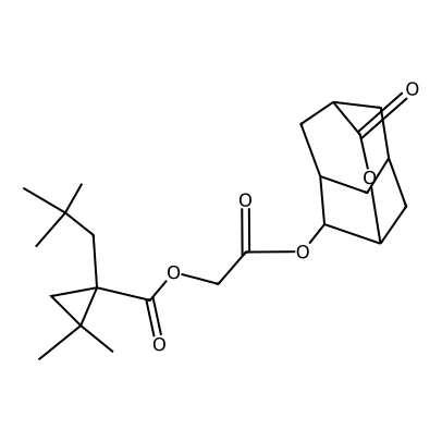 CC(C)(C)CC1(C(=O)OCC(=O)OC2C3CC4CC(C3)C(=O)OC2C4)CC1(C)C